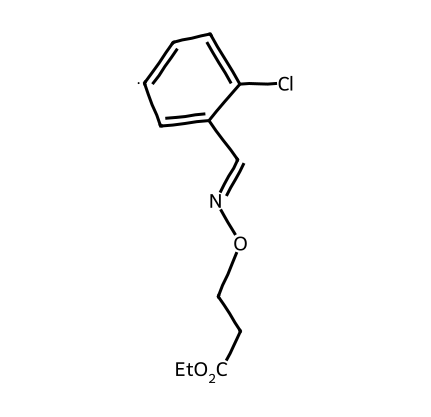 CCOC(=O)CCO/N=C/c1c[c]ccc1Cl